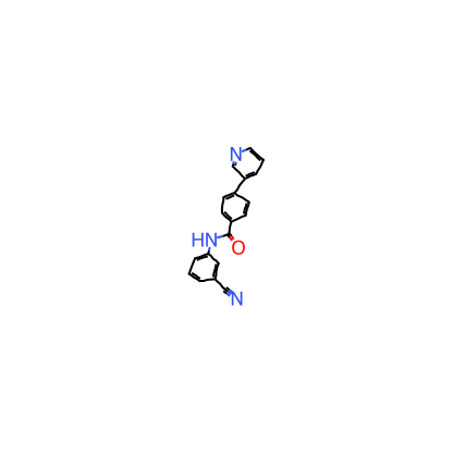 N#Cc1cccc(NC(=O)c2ccc(-c3cccnc3)cc2)c1